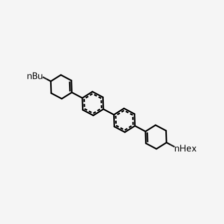 CCCCCCC1CC=C(c2ccc(-c3ccc(C4=CCC(CCCC)CC4)cc3)cc2)CC1